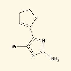 CC(C)c1sc(N)nc1C1=CCCC1